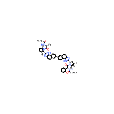 COC(=O)N[C@H](C(=O)N1[C@@H]2CC[C@@H](C2)[C@H]1c1nc2ccc3cc(-c4ccc5c(ccc6nc([C@@H]7C[C@H]8C[C@H]8N7C(=O)[C@H](NC(=O)OC)c7ccccc7)[nH]c65)c4)ccc3c2[nH]1)C(C)C